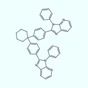 c1ccc(-n2c(-c3ccc(C4(c5ccc(-c6nc7cccnc7n6-c6ccccc6)cc5)CCCCC4)cc3)nc3cccnc32)cc1